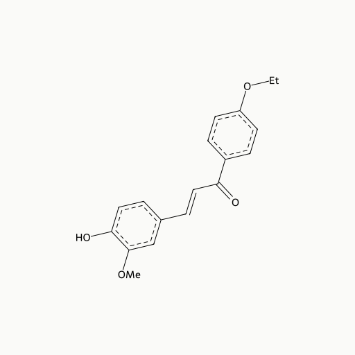 CCOc1ccc(C(=O)/C=C/c2ccc(O)c(OC)c2)cc1